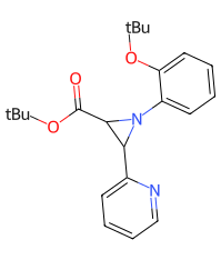 CC(C)(C)OC(=O)C1C(c2ccccn2)N1c1ccccc1OC(C)(C)C